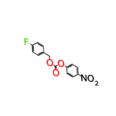 O=C(OCc1ccc(F)cc1)Oc1ccc([N+](=O)[O-])cc1